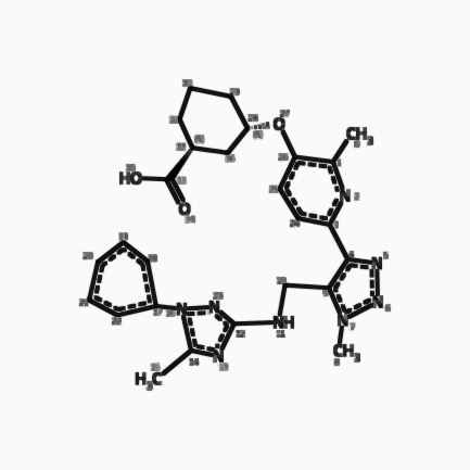 Cc1nc(-c2nnn(C)c2CNc2nc(C)n(-c3ccccc3)n2)ccc1O[C@H]1CCC[C@H](C(=O)O)C1